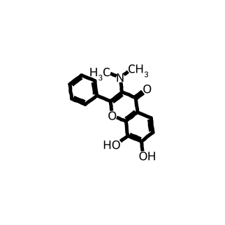 CN(C)c1c(-c2ccccc2)oc2c(O)c(O)ccc2c1=O